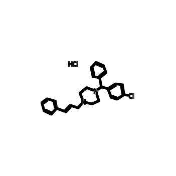 Cl.Clc1ccc(C(c2ccccc2)N2CCN(C/C=C/c3ccccc3)CC2)cc1